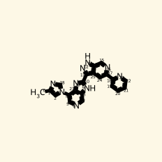 Cc1cn(-c2cncc3[nH]c(-c4n[nH]c5cnc(-c6ccccn6)cc45)nc23)cn1